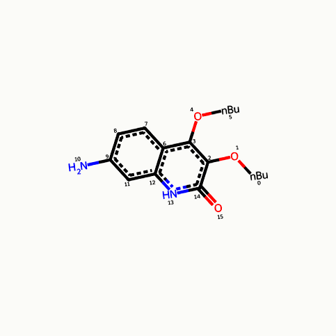 CCCCOc1c(OCCCC)c2ccc(N)cc2[nH]c1=O